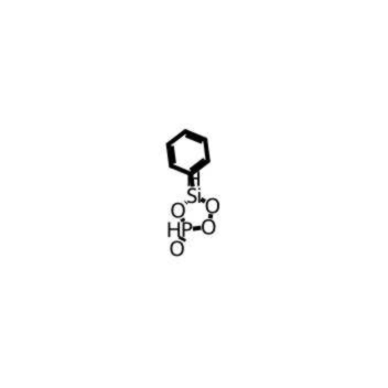 O=[PH]1OO[SiH](c2ccccc2)O1